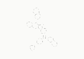 c1ccc(-c2ccc(N(c3ccc4ccccc4c3)c3ccc4oc5c(-c6ccc7ccccc7c6)c6ccccc6cc5c4c3)cc2)cc1